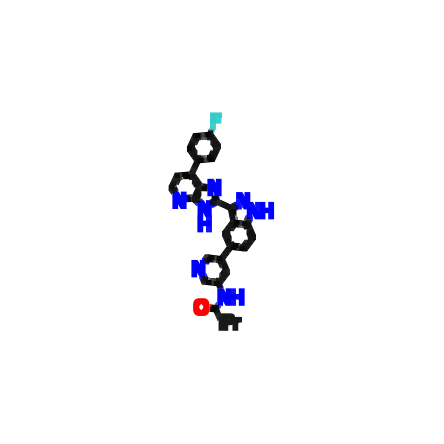 CC(C)C(=O)Nc1cncc(-c2ccc3[nH]nc(-c4nc5c(-c6ccc(F)cc6)ccnc5[nH]4)c3c2)c1